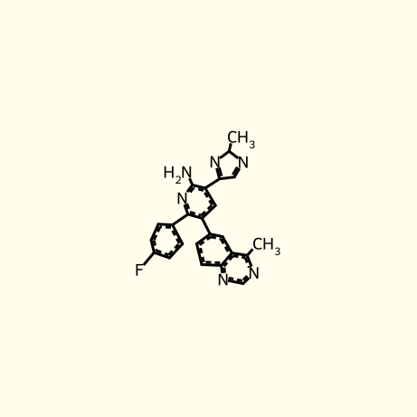 Cc1ncnc2ccc(-c3cc(C4=NC(C)N=C4)c(N)nc3-c3ccc(F)cc3)cc12